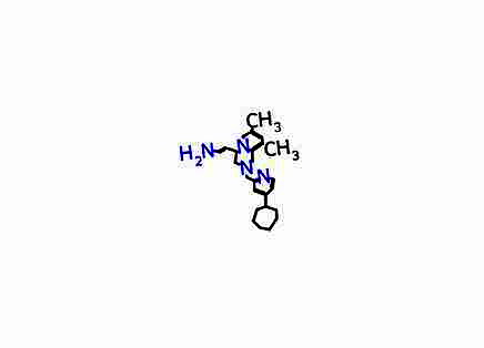 Cc1cnc(CN(CC/C=C/N)Cc2cc(C3CCCCCC3)ccn2)c(C)c1